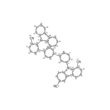 N#Cc1ccc2c(c1)c1cccc(C#N)c1n2-c1cccc(-c2ccc(-c3cccc(C#N)c3-n3c4ccccc4c4ccccc43)cc2)c1